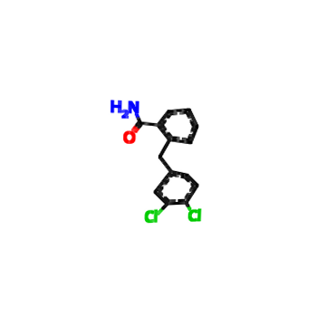 NC(=O)c1ccccc1Cc1ccc(Cl)c(Cl)c1